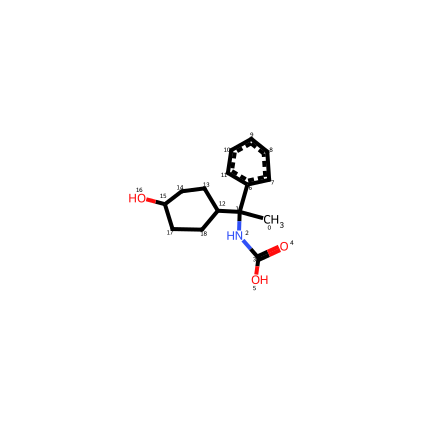 CC(NC(=O)O)(c1ccccc1)C1CCC(O)CC1